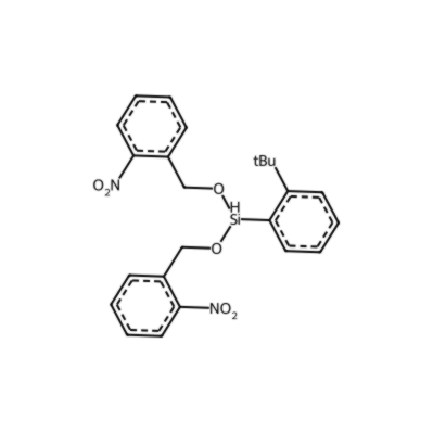 CC(C)(C)c1ccccc1[SiH](OCc1ccccc1[N+](=O)[O-])OCc1ccccc1[N+](=O)[O-]